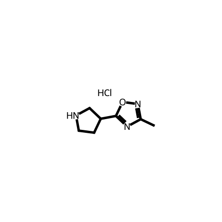 Cc1noc(C2CCNC2)n1.Cl